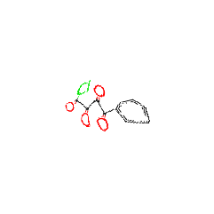 O=C(Cl)C(=O)C(=O)C(=O)c1ccccc1